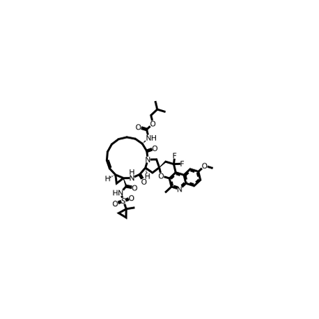 COc1ccc2nc(C)c3c(c2c1)C(F)(F)C[C@]1(C[C@H]2C(=O)N[C@]4(C(=O)NS(=O)(=O)C5(C)CC5)C[C@H]4/C=C\CCCCC[C@H](NC(=O)OCC(C)C)C(=O)N2C1)O3